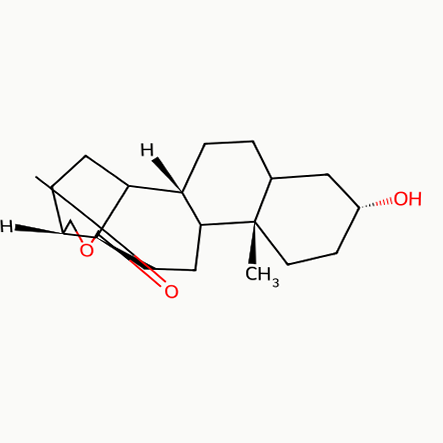 C[C@]12CC[C@@H](O)CC1CC[C@@H]1C2CC[C@]23C(=O)OC[C@H]2CCC13